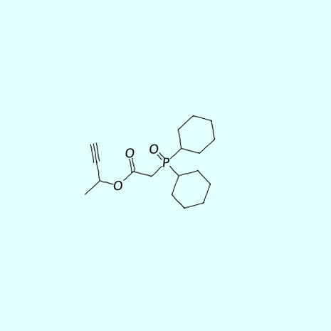 C#CC(C)OC(=O)CP(=O)(C1CCCCC1)C1CCCCC1